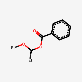 CCOC(CC)OC(=O)c1ccccc1